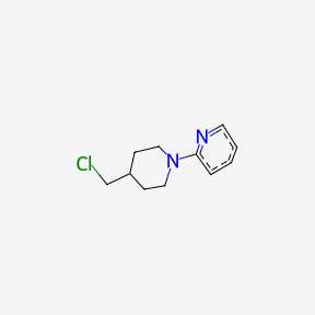 ClCC1CCN(c2ccccn2)CC1